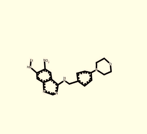 CCNc1cc2ncnc(NCc3ccc(N4CCOCC4)cc3)c2cc1[N+](=O)[O-]